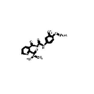 CCCCCOc1ccc(NC(=S)NC(=O)c2cccnc2C(=O)N(C)C)cc1C(F)(F)F